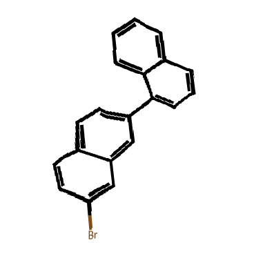 Brc1ccc2ccc(-c3cccc4ccccc34)cc2c1